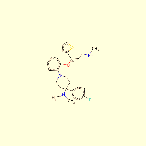 CNCC[C@@H](Oc1ccccc1N1CCC(c2ccc(F)cc2)(N(C)C)CC1)c1cccs1